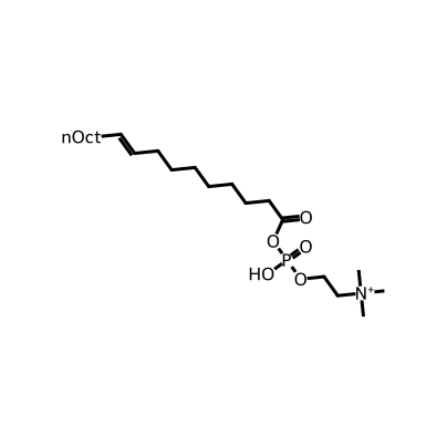 CCCCCCCCC=CCCCCCCCC(=O)OP(=O)(O)OCC[N+](C)(C)C